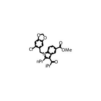 CCCc1c(C(=O)C(C)C)c2cc(C(=O)OC)ccc2n1Cc1cc2c(cc1Cl)OCO2